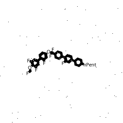 CCCCCC1CCC(c2ccc(C3CCC(C(F)(F)Oc4ccc(-c5cc(F)c(OCF)c(F)c5)c(F)c4)CC3)c(F)c2)CC1